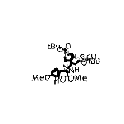 COc1ccc(-c2nc(C(CCO[Si](C)(C)C(C)(C)C)C3CCN(C(=O)OC(C)(C)C)CC3)[nH]c2C(O)OC)cc1